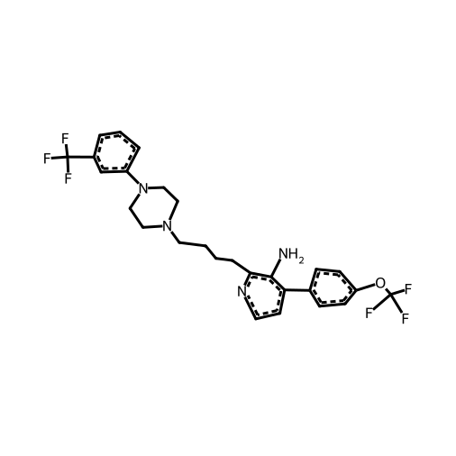 Nc1c(-c2ccc(OC(F)(F)F)cc2)ccnc1CCCCN1CCN(c2cccc(C(F)(F)F)c2)CC1